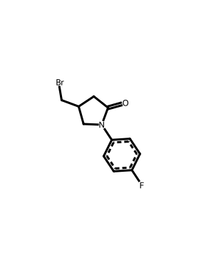 O=C1CC(CBr)CN1c1ccc(F)cc1